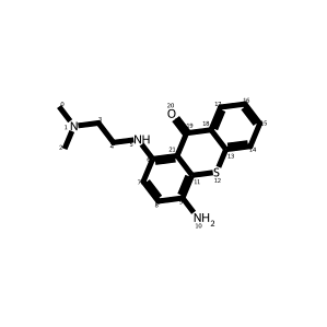 CN(C)CCNc1ccc(N)c2sc3ccccc3c(=O)c12